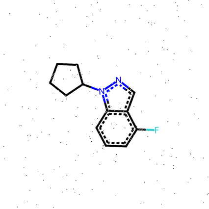 Fc1c[c]cc2c1cnn2C1CCCC1